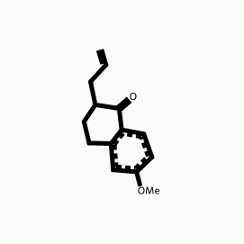 C=CCC1CCc2cc(OC)ccc2C1=O